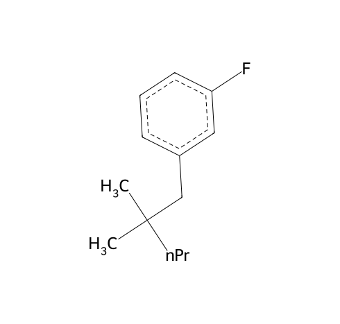 [CH2]CCC(C)(C)Cc1cccc(F)c1